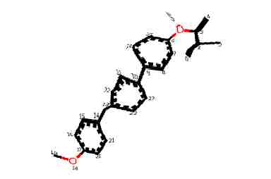 C=C(C)C(=C)Oc1ccc(-c2ccc(-c3ccc(OC)cc3)cc2)cc1